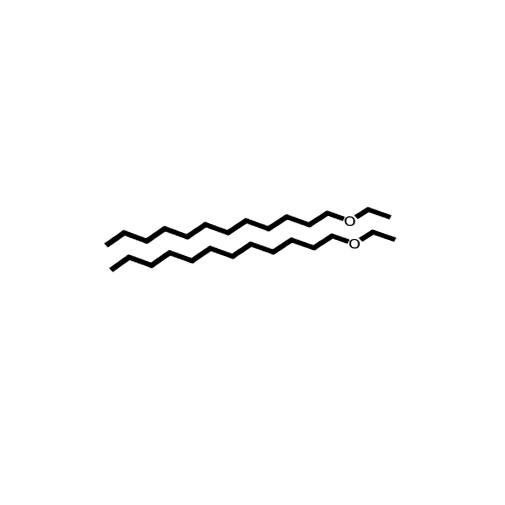 CCCCCCCCCCCCOCC.CCCCCCCCCCCCOCC